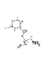 Cc1cccc(OC/C(=C\F)CN)c1